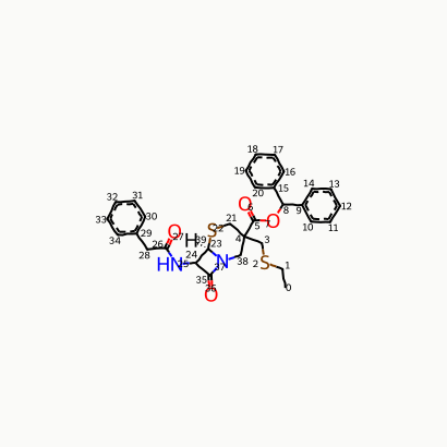 CCSCC1(C(=O)OC(c2ccccc2)c2ccccc2)CS[C@@H]2C(NC(=O)Cc3ccccc3)C(=O)N2C1